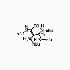 CCCC[SiH2]C(C(=O)O)=C([SiH2]CCCC)C([SiH2]CCCC)[SiH2]CCCC